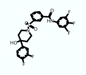 O=C(Nc1cc(F)c(F)c(F)c1)c1cccc(S(=O)(=O)N2CCC(O)(c3ccc(F)c(F)c3)CC2)c1